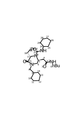 CCCCNC(=O)C[C@H]1CN(CC2CCCCC2)C(=O)[C@H](CC(C)C)N1C(=O)NC1CCCCC1